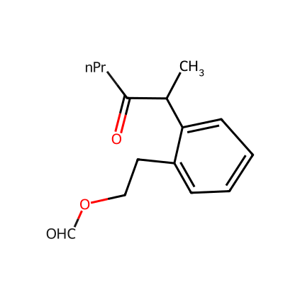 CCCC(=O)C(C)c1ccccc1CCOC=O